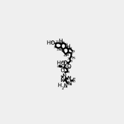 C#C[C@]1(CO)O[C@@H](n2cnc3c(N)nc(F)nc32)C[C@@H]1OC(=O)CC[C@@H](C)[C@H]1CCC2[C@@H]3CC[C@@H]4C[C@H](O)CC[C@]4(C)C3CC[C@@]21C